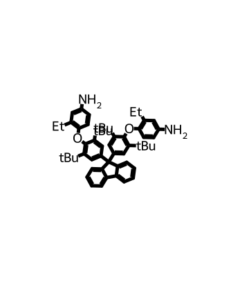 CCc1cc(N)ccc1Oc1c(C(C)(C)C)cc(C2(c3cc(C(C)(C)C)c(Oc4ccc(N)cc4CC)c(C(C)(C)C)c3)c3ccccc3-c3ccccc32)cc1C(C)(C)C